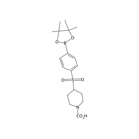 CC1(C)OB(c2ccc(S(=O)(=O)C3CCN(C(=O)O)CC3)cc2)OC1(C)C